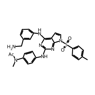 CC(=O)N(C)c1ccc(Nc2nc(Nc3cccc(CN)c3)c3ccn(S(=O)(=O)c4ccc(C)cc4)c3n2)cc1